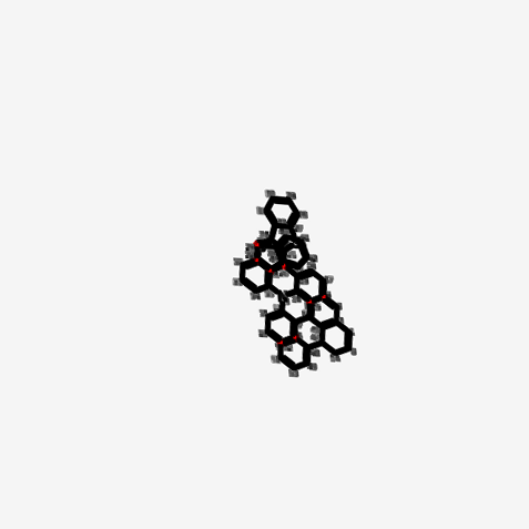 C1=Cc2cccc(-c3ccccc3N(c3ccccc3-c3cccc4c3sc3ccccc34)c3cccc4oc5ccccc5c34)c2C(c2ccccc2)C1